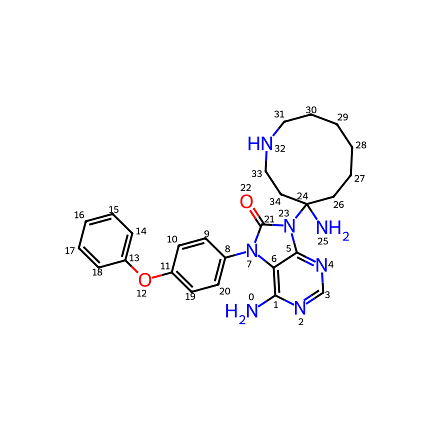 Nc1ncnc2c1n(-c1ccc(Oc3ccccc3)cc1)c(=O)n2C1(N)CCCCCCNCC1